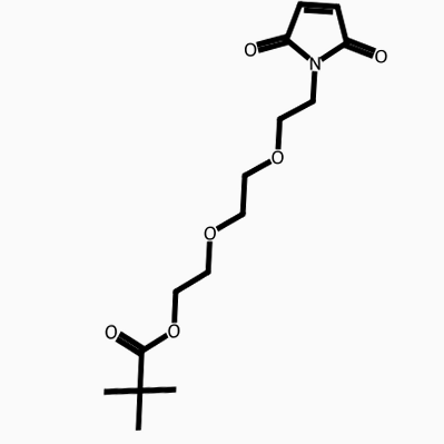 CC(C)(C)C(=O)OCCOCCOCCN1C(=O)C=CC1=O